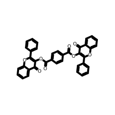 O=C(Oc1c(-c2ccccc2)oc2ccccc2c1=O)c1ccc(C(=O)Oc2c(-c3ccccc3)oc3ccccc3c2=O)cc1